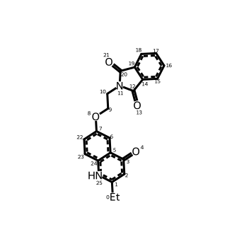 CCc1cc(=O)c2cc(OCCN3C(=O)c4ccccc4C3=O)ccc2[nH]1